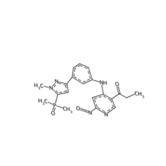 CCC(=O)c1cnc(N=O)cc1Nc1cccc(-c2cc(P(C)(C)=O)n(C)n2)c1